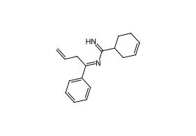 C=CC/C(=N\C(=N)C1CC=CCC1)c1ccccc1